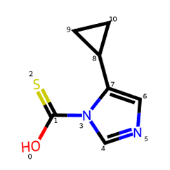 OC(=S)n1cncc1C1CC1